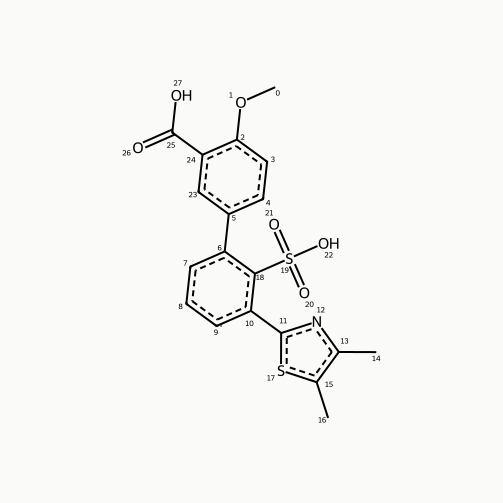 COc1ccc(-c2cc[c]c(-c3nc(C)c(C)s3)c2S(=O)(=O)O)cc1C(=O)O